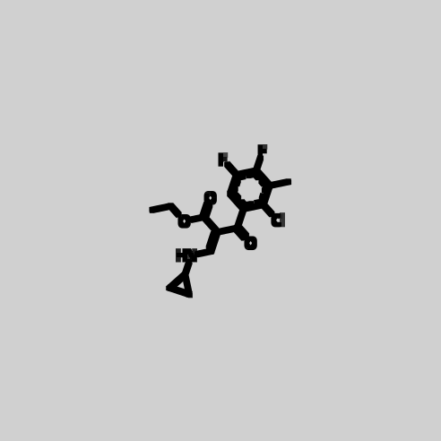 CCOC(=O)C(=CNC1CC1)C(=O)c1cc(F)c(F)c(C)c1Cl